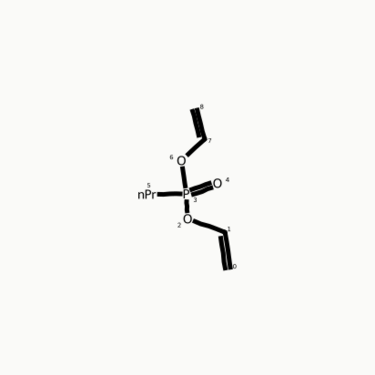 C=COP(=O)(CCC)OC=C